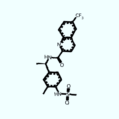 Cc1cc([C@@H](C)NC(=O)c2ccc3cc(C(F)(F)F)ccc3n2)ccc1NS(C)(=O)=O